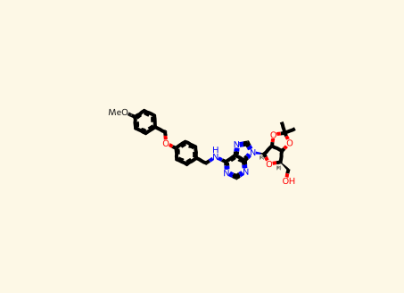 COc1ccc(COc2ccc(CNc3ncnc4c3ncn4[C@@H]3O[C@H](CO)C4OC(C)(C)OC43)cc2)cc1